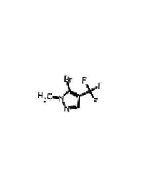 Cn1ncc(C(F)(F)F)c1Br